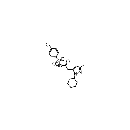 Cc1cc(CC(=O)NS(=O)(=O)c2ccc(Cl)cc2)n(C2CCCCC2)n1